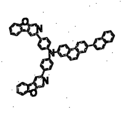 c1ccc2cc(-c3ccc4c(ccc5cc(N(c6ccc(-c7cc8c(cn7)oc7ccccc78)cc6)c6ccc(-c7cc8c(cn7)oc7ccccc78)cc6)ccc54)c3)ccc2c1